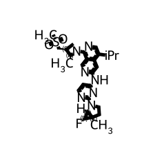 CC(C)c1cnc(N2C[C@H](CS(C)(=O)=O)[C@H]2C)c2cnc(Nc3ccnc(N4CC[C@]5(C)[C@@H]4[C@@H]5F)n3)cc12